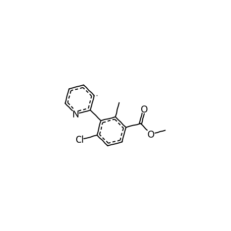 COC(=O)c1ccc(Cl)c(-c2[c]cccn2)c1C